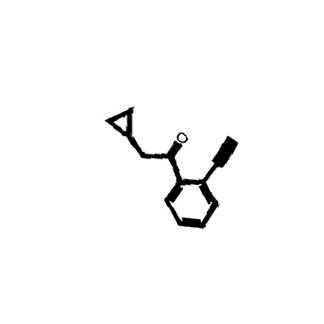 C#Cc1ccccc1C(=O)CC1CC1